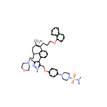 Cc1nn(C)c(COc2ccc(N3CCN(S(=O)(=O)N(C)C)CC3)cc2)c1-c1cccc2c1C(CCN1CCOCC1)CCC(C(=O)O)=C2CCCOc1cccc2ccccc12